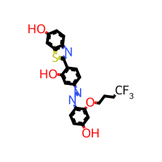 Oc1ccc(N=Nc2ccc(-c3nc4ccc(O)cc4s3)c(O)c2)c(OCCCC(F)(F)F)c1